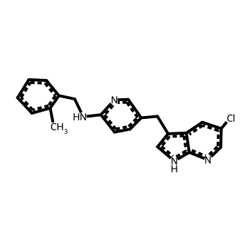 Cc1ccccc1CNc1ccc(Cc2c[nH]c3ncc(Cl)cc23)cn1